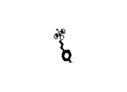 [CH2]c1ccc([CH]CCOS(C)(=O)=O)cc1